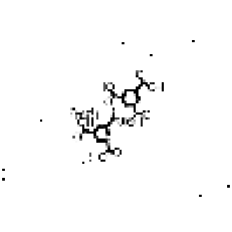 O=C(O)c1cc(C(=O)O)cc(C(=O)O)c1.O=C(O)c1cc(C(=O)O)cc(C(=O)O)c1.[NaH].[NaH]